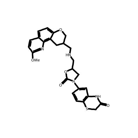 COc1ccc2ccc3c(c2n1)CC(CNCC1CN(c2ccc4c(c2)NC(=O)CS4)C(=O)O1)CO3